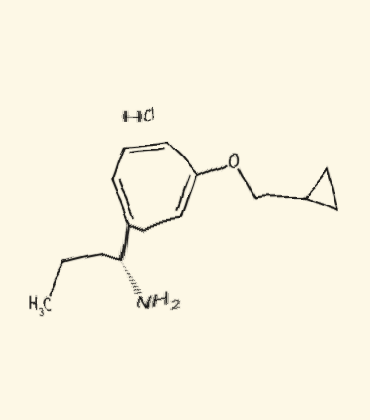 CC[C@@H](N)c1cccc(OCC2CC2)c1.Cl